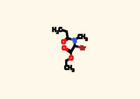 CCOC(=O)C(Br)N(C)C(=O)CC